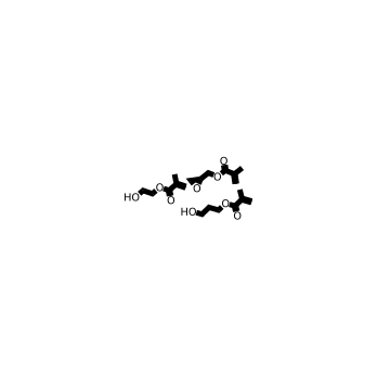 C=C(C)C(=O)OCC1CO1.C=C(C)C(=O)OCCCO.C=C(C)C(=O)OCCO